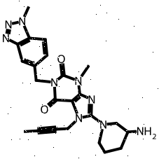 CC#CCn1c(N2CCCC(N)C2)nc2c1c(=O)n(Cc1ccc3c(c1)nnn3C)c(=O)n2C